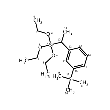 CCO[Si](OCC)(OCC)C(C)c1cccc([Si](C)(C)C)c1